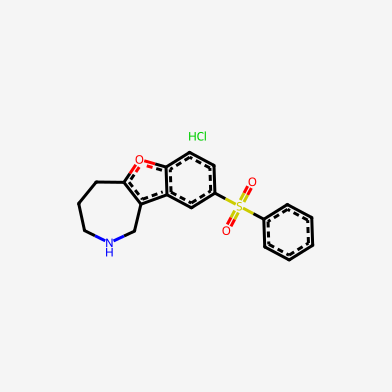 Cl.O=S(=O)(c1ccccc1)c1ccc2oc3c(c2c1)CNCCC3